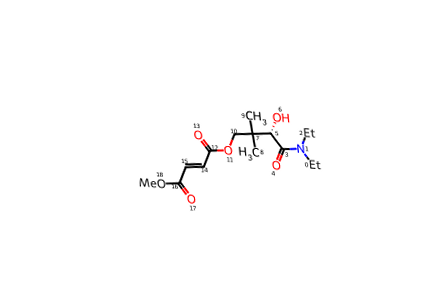 CCN(CC)C(=O)[C@@H](O)C(C)(C)COC(=O)/C=C/C(=O)OC